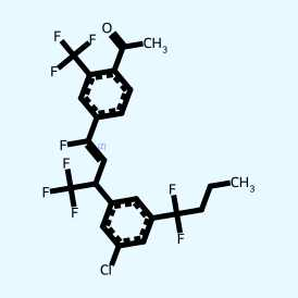 CCCC(F)(F)c1cc(Cl)cc(C(/C=C(\F)c2ccc(C(C)=O)c(C(F)(F)F)c2)C(F)(F)F)c1